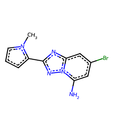 Cn1cccc1-c1nc2cc(Br)cc(N)n2n1